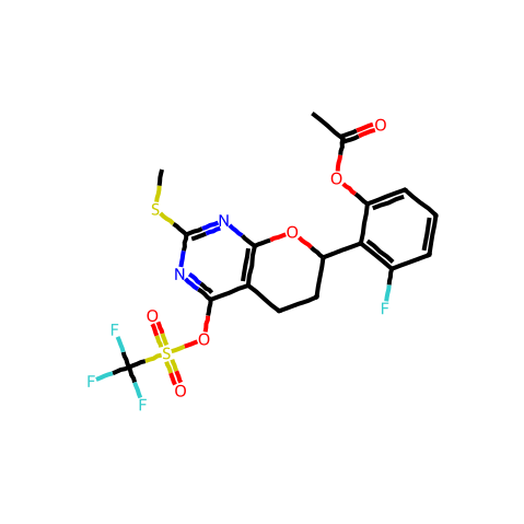 CSc1nc2c(c(OS(=O)(=O)C(F)(F)F)n1)CCC(c1c(F)cccc1OC(C)=O)O2